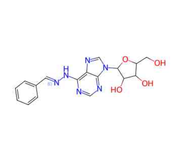 OCC1OC(n2cnc3c(N/N=C/c4ccccc4)ncnc32)C(O)C1O